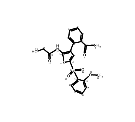 NC(=O)c1ccccc1-c1cc(S(=O)(=O)c2ccccc2OC(F)(F)F)sc1NC(=O)CO